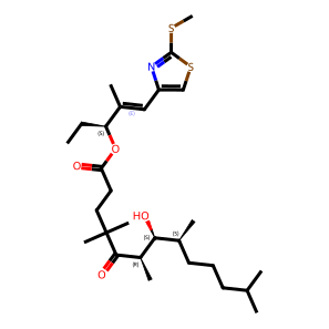 CC[C@H](OC(=O)CCC(C)(C)C(=O)[C@H](C)[C@@H](O)[C@@H](C)CCCC(C)C)/C(C)=C/c1csc(SC)n1